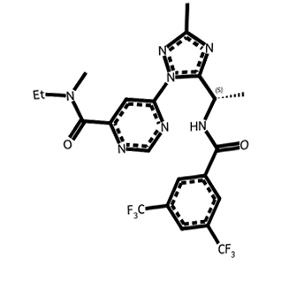 CCN(C)C(=O)c1cc(-n2nc(C)nc2[C@H](C)NC(=O)c2cc(C(F)(F)F)cc(C(F)(F)F)c2)ncn1